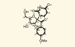 COc1ccc(C(=O)[C@@]2(n3ccc(=O)[nH]c3=O)O[C@H](CO)[C@@H](O)[C@H]2O)cc1